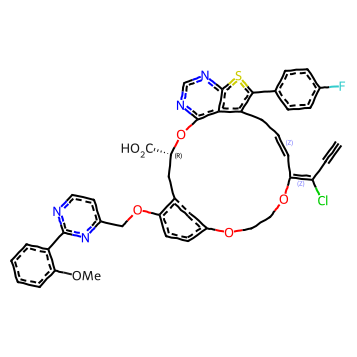 C#C/C(Cl)=C1\C=C/Cc2c(-c3ccc(F)cc3)sc3ncnc(c23)O[C@@H](C(=O)O)Cc2cc(ccc2OCc2ccnc(-c3ccccc3OC)n2)OCCO1